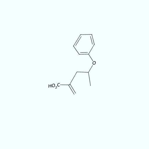 C=C(CC(C)Oc1ccccc1)C(=O)O